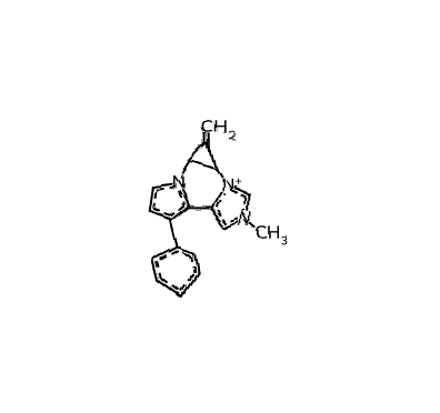 C=C1C2C1[n+]1cn(C)cc1-c1c(-c3ccccc3)ccn12